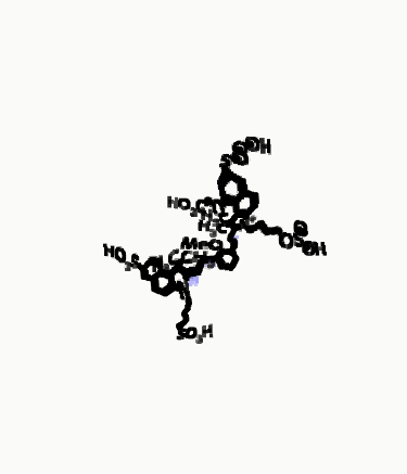 COC1=C(/C=C/C2=[N+](CCCCOS(=O)O)c3ccc4cc(SOOO)cc(OCC(=O)O)c4c3C2(C)C)CCC/C1=C\C=C1\N(CCCCS(=O)(=O)O)c2ccc3cc(S(=O)(=O)O)ccc3c2C1(C)C